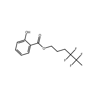 CC(F)(F)C(F)(F)CCCOC(=O)c1ccccc1O